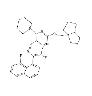 Fc1c(-c2cccc3cccc(F)c23)ncc2c(N3CCCCC3)nc(OCC34CCCN3CCC4)nc12